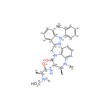 CC(=O)N1c2ccccc2N(Cc2nn(-c3ccccc3C#N)c3ccccc23)C(=O)[C@@H](NC(=O)[C@H](C)N(C)C(=O)O)[C@@H]1C